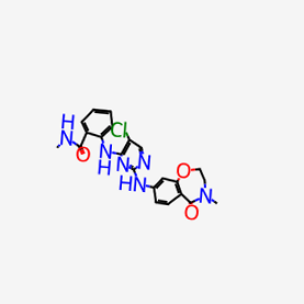 CNC(=O)c1ccccc1Nc1nc(Nc2ccc3c(c2)OCCN(C)C3=O)ncc1Cl